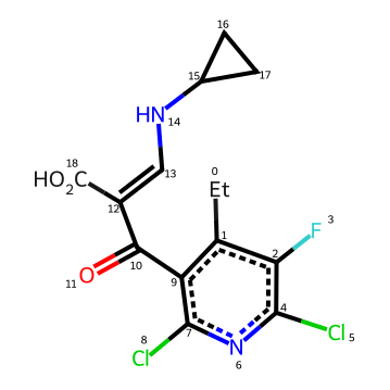 CCc1c(F)c(Cl)nc(Cl)c1C(=O)C(=CNC1CC1)C(=O)O